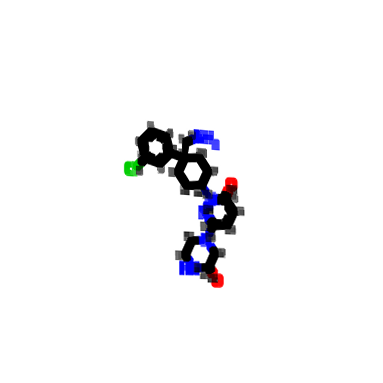 NC[C@]1(c2cccc(Cl)c2)CC[C@H](n2nc(N3CCNC(=O)C3)ccc2=O)CC1